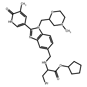 Cc1cc(-c2nc3cc(CNC(CC(C)C)C(=O)OC4CCCC4)ccc3n2CC2CN(C)CCO2)c[nH]c1=O